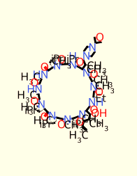 C/C=C/C[C@@H](C)[C@@H](O)[C@H]1C(=O)N[C@@H](CC)C(=O)N(C)[C@H](C)C(=O)N(C)[C@@H]([C@@H](C)CN2CCN(C3COC3)CC2)C(=O)N[C@@H](C(C)C)C(=O)N(C)[C@@H](CC(C)C)C(=O)N[C@@H](C)C(=O)N[C@H](C)C(=O)N(C)[C@@H](CC(C)C)C(=O)N(C)[C@@H](CC(C)C)C(=O)N(C)[C@@H](C(C)C)C(=O)N1C